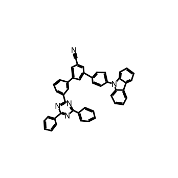 N#Cc1cc(-c2ccc(-n3c4ccccc4c4ccccc43)cc2)cc(-c2cccc(-c3nc(-c4ccccc4)nc(-c4ccccc4)n3)c2)c1